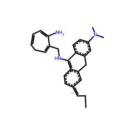 CC/C=c1/ccc2c(c1)Cc1cc(N(C)C)ccc1C=2NCC1=CCC=CC=C1N